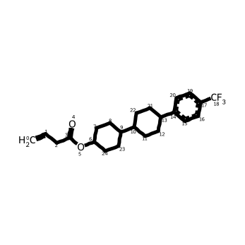 C=CCC(=O)OC1CCC(C2CCC(c3ccc(C(F)(F)F)cc3)CC2)CC1